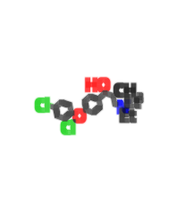 CCN(CC)CC(C)C(O)c1ccc(Oc2ccc(Cl)cc2Cl)cc1